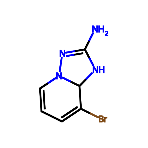 NC1=NN2C=CC=C(Br)C2N1